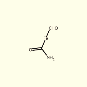 N[C](=O)[Fe][CH]=O